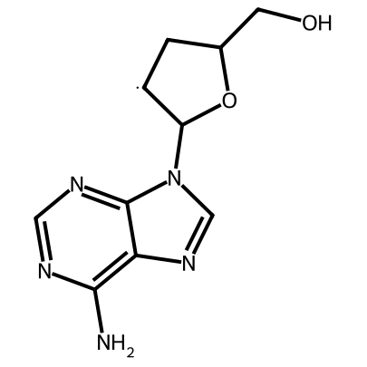 Nc1ncnc2c1ncn2C1[CH]CC(CO)O1